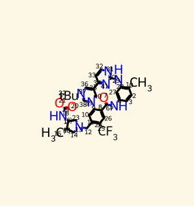 Cc1ccc(NC(=O)c2ccc(CN3C[C@@H](C)[C@H](NC(=O)OC(C)(C)C)C3)c(C(F)(F)F)c2)cc1Nc1nccc(-c2cncnc2)n1